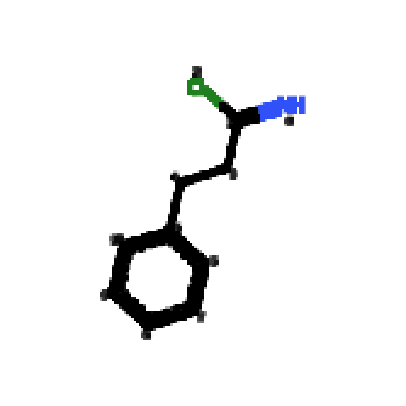 N=C(Cl)CCc1ccccc1